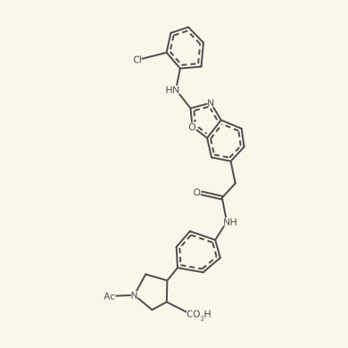 CC(=O)N1CC(C(=O)O)C(c2ccc(NC(=O)Cc3ccc4nc(Nc5ccccc5Cl)oc4c3)cc2)C1